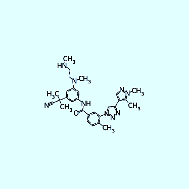 CNCCN(C)c1cc(NC(=O)c2ccc(C)c(-n3cc(-c4cnn(C)c4C)nn3)c2)cc(C(C)(C)C#N)c1